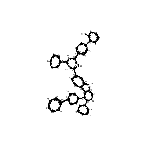 N#Cc1ccccc1-c1ccc(-c2nc(-c3ccccc3)nc(-c3ccc4c(c3)oc3ccc(-c5ccccc5)c(-c5ccc(-c6ccccc6)cc5)c34)n2)cc1